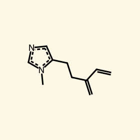 C=CC(=C)CCc1cncn1C